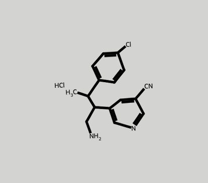 CC(c1ccc(Cl)cc1)C(CN)c1cncc(C#N)c1.Cl